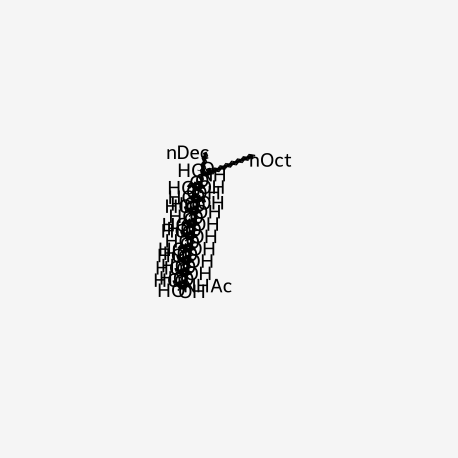 CCCCCCCC/C=C\CCCCCCCCCCCCCC(=O)N[C@@H](CO[C@@H]1OC(CO)[C@@H](O[C@@H]2OC(CO)[C@H](O[C@@H]3OC(CO)[C@H](O)[C@H](O[C@H]4OC(CO)[C@H](O)[C@H](O[C@H]5OC(CO)[C@H](O)[C@H](O[C@H]6OC(CO)[C@H](O)[C@H](O[C@H]7OC(CO)[C@H](O)[C@H](O[C@H]8OC(CO)[C@H](O)[C@H](O[C@@H]9OC(CO)[C@H](O)[C@H](O)C9NC(C)=O)C8O)C7O)C6O)C5O)C4O)C3O)[C@H](O)C2O)[C@H](O)C1O)[C@H](O)/C=C/CCCCCCCCCCCCC